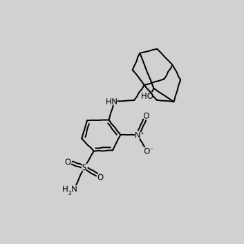 NS(=O)(=O)c1ccc(NCC23CC4CC(C2)C(O)C(C4)C3)c([N+](=O)[O-])c1